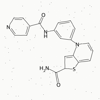 NC(=O)C1C=C2C(=CC=CN2c2cccc(NC(=O)c3ccncc3)c2)S1